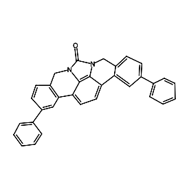 O=c1n2c3c(ccc4c3n1Cc1ccc(-c3ccccc3)cc1-4)-c1cc(-c3ccccc3)ccc1C2